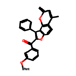 C=C1C=C(C)c2ccc3oc(C(=O)c4cccc(OCCCCC)c4)c(-c4ccccc4)c3c2O1